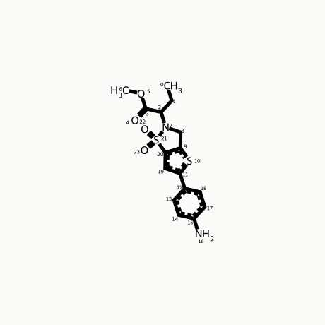 CCC(C(=O)OC)N1Cc2sc(-c3ccc(N)cc3)cc2S1(=O)=O